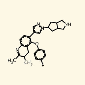 CC1=Nc2ccc(-c3cnn(C4CC5CNCC5C4)c3)c(Oc3ccc(F)cc3)c2CC1C